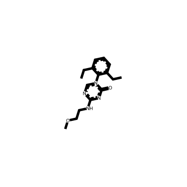 CCc1cccc(CC)c1-n1cnc(NCCOC)nc1=O